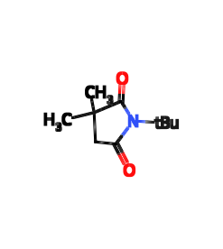 CC1(C)CC(=O)N(C(C)(C)C)C1=O